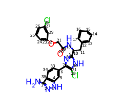 Nc1n[nH]c2cc(-c3nc([C@H](Cc4ccccc4)NC(=O)COc4cccc(Cl)c4)[nH]c3Cl)ccc12